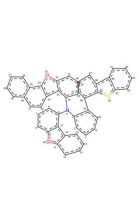 c1ccc(N(c2cccc3oc4ccccc4c23)c2cccc3oc4c5ccccc5ccc4c23)c(-c2cccc3c2sc2ccccc23)c1